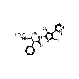 Cn1nccc1-c1c(Cl)sc(NC(=O)C(c2ccccc2)C(NC(=O)O)C(C)(C)C)c1Cl